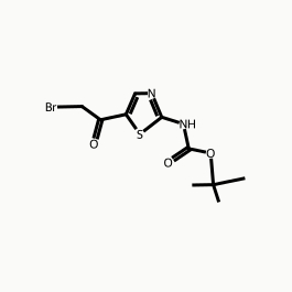 CC(C)(C)OC(=O)Nc1ncc(C(=O)CBr)s1